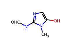 Cn1c(O)cnc1NC=O